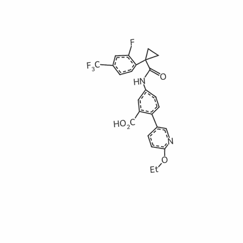 CCOc1ccc(-c2ccc(NC(=O)C3(c4ccc(C(F)(F)F)cc4F)CC3)cc2C(=O)O)cn1